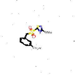 COc1nsc(S(=O)(=O)Cc2cccc(C(=O)O)c2)n1